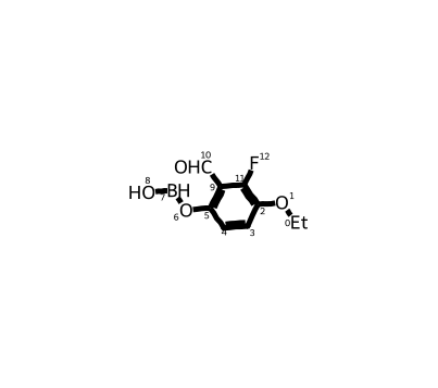 CCOc1ccc(OBO)c(C=O)c1F